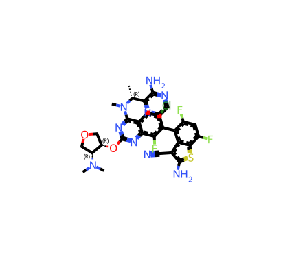 C[C@H](c1nccnc1N)N(C)c1nc(O[C@H]2COC[C@H]2N(C)C)nc2c(F)c(-c3c(F)cc(F)c4sc(N)c(C#N)c34)c(Cl)cc12